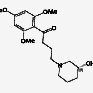 COc1cc(OC)c(C(=O)CCCN2CCC[C@@H](O)C2)c(OC)c1